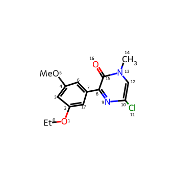 CCOc1cc(OC)cc(-c2nc(Cl)cn(C)c2=O)c1